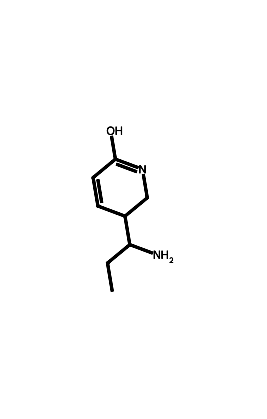 CCC(N)C1C=CC(O)=NC1